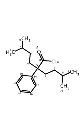 CC(C)CCC(CCC(C)C)(C(=O)Cl)c1ccccc1